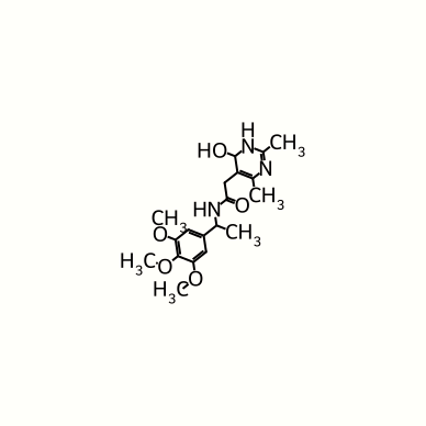 COc1cc(C(C)NC(=O)CC2=C(C)N=C(C)NC2O)cc(OC)c1OC